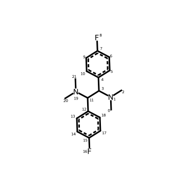 CN(C)C(c1ccc(F)cc1)C(c1ccc(F)cc1)N(C)C